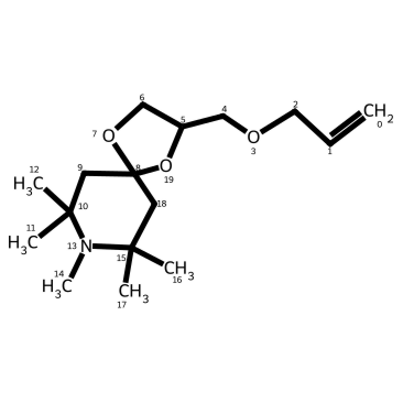 C=CCOCC1COC2(CC(C)(C)N(C)C(C)(C)C2)O1